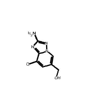 Nc1nc2c(Cl)cc(CO)cn2n1